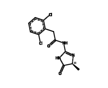 C[C@@H]1N=C(NC(=O)Cc2c(Cl)cccc2Cl)NC1=O